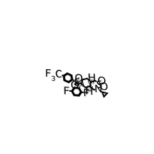 O=S1(=O)C[C@@H]2CC[C@](c3cc(F)ccc3F)(S(=O)(=O)c3ccc(C(F)(F)F)cc3)C[C@@H]2CN1C1CC1